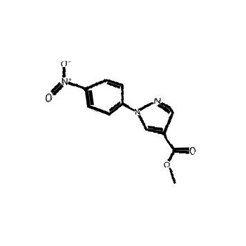 COC(=O)c1cnn(-c2ccc([N+](=O)[O-])cc2)c1